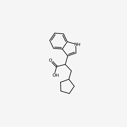 O=C(O)C(CC1CCCC1)c1c[nH]c2ccccc12